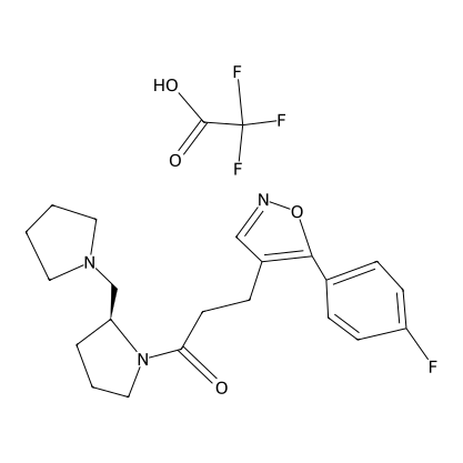 O=C(CCc1cnoc1-c1ccc(F)cc1)N1CCC[C@H]1CN1CCCC1.O=C(O)C(F)(F)F